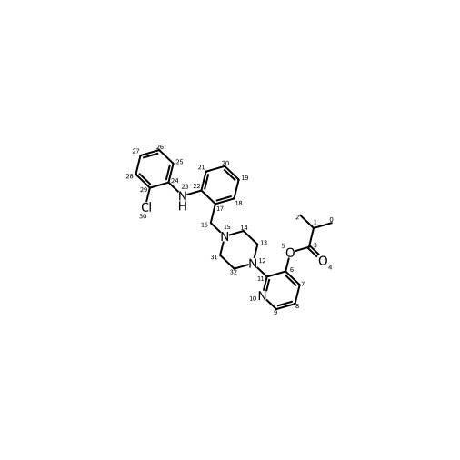 CC(C)C(=O)Oc1cccnc1N1CCN(Cc2ccccc2Nc2ccccc2Cl)CC1